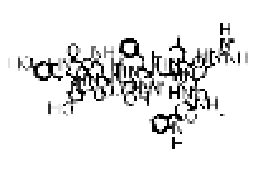 CNC(=N)NCCC[C@H](NC(=O)[C@H](CC(C)C)NC(=O)[C@H](CN)NC(=O)[C@H](Cc1ccccc1)NC(=O)[C@@H](NC(=O)[C@H](CC(N)=O)NC(=O)[C@@H]1C[C@@H](O)CN1C(=O)[C@@H](Cc1ccc(O)cc1)NC(C)=O)[C@@H](C)O)C(=O)N[C@@H](Cc1c[nH]c2ccccc12)C(N)=O